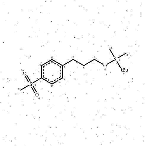 CC(C)(C)[Si](C)(C)OCCCc1ccc(S(C)(=O)=O)cc1